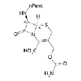 CCCCCN[C@@H]1C(=O)N2C(C(=O)O)=C(COC(N)=O)CS[C@H]12